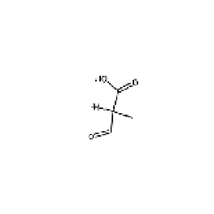 [2H]C(C)(C=O)C(=O)O